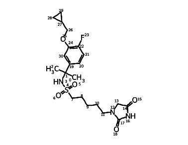 CC(C)(NS(=O)(=O)CCCCCN1CC(=O)NC1=O)c1ccc(F)c(OCC2CC2)c1